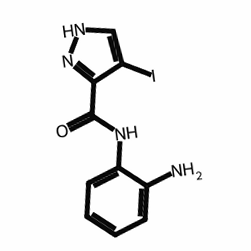 Nc1ccccc1NC(=O)c1n[nH]cc1I